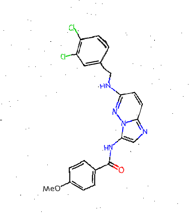 COc1ccc(C(=O)Nc2cnc3ccc(NCc4ccc(Cl)c(Cl)c4)nn23)cc1